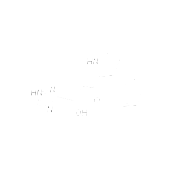 O=C(C=C(O)c1nc[nH]n1)C1NCCC1c1ccccc1